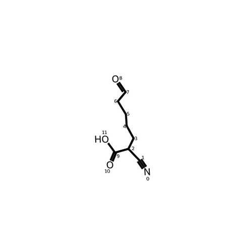 N#CC(CCCCC=O)C(=O)O